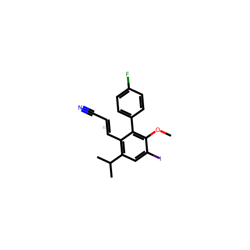 COc1c(I)cc(C(C)C)c(/C=C/C#N)c1-c1ccc(F)cc1